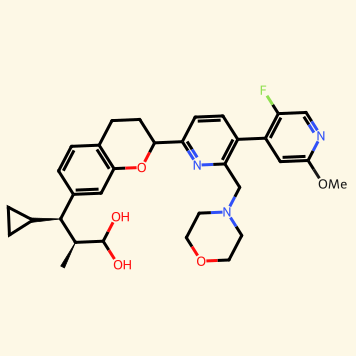 COc1cc(-c2ccc(C3CCc4ccc([C@H](C5CC5)[C@H](C)C(O)O)cc4O3)nc2CN2CCOCC2)c(F)cn1